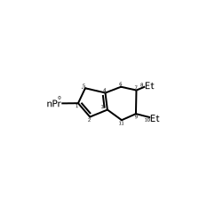 CCCC1=CC2=C([CH]1)CC(CC)C(CC)C2